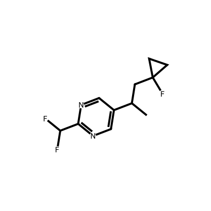 CC(CC1(F)CC1)c1cnc(C(F)F)nc1